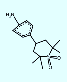 CC1(C)CC(c2ccc(N)cc2)CC(C)(C)S1(=O)=O